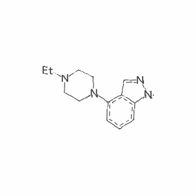 CCN1CCN(c2cccc3c2C=N[N]3)CC1